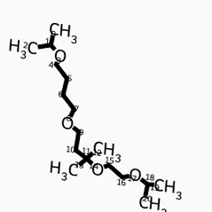 CC(C)OCCCCOCCC(C)(C)OCCOC(C)C